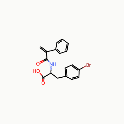 C=C(C(=O)NC(Cc1ccc(Br)cc1)C(=O)O)c1ccccc1